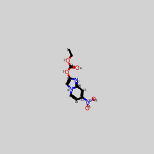 CCOC(=O)Oc1cn2ccc([N+](=O)[O-])cc2n1